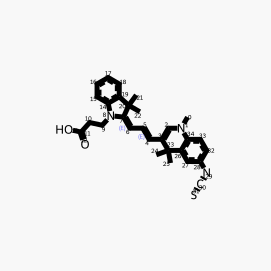 CN1C=C(/C=C/C=C2/N(CCC(=O)O)c3ccccc3C2(C)C)C(C)(C)c2cc(N=C=S)ccc21